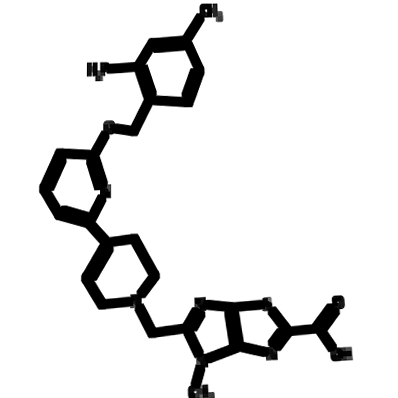 Cc1ccc(COc2cccc(C3=CCN(Cc4nc5sc(C(=O)O)nc5n4C)CC3)n2)c(P)c1